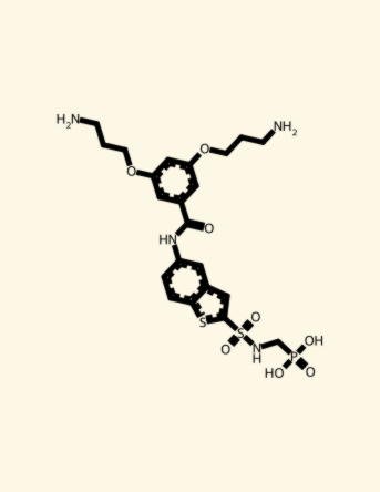 NCCCOc1cc(OCCCN)cc(C(=O)Nc2ccc3sc(S(=O)(=O)NCP(=O)(O)O)cc3c2)c1